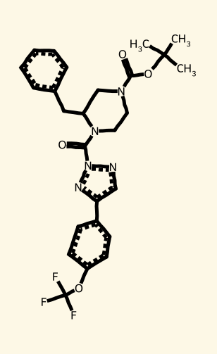 CC(C)(C)OC(=O)N1CCN(C(=O)n2ncc(-c3ccc(OC(F)(F)F)cc3)n2)C(Cc2ccccc2)C1